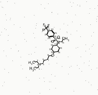 CCN(CC)CCCCOC1CCC(N(CC)S(=O)(=O)c2ccc(C(F)(F)F)cc2)CC1